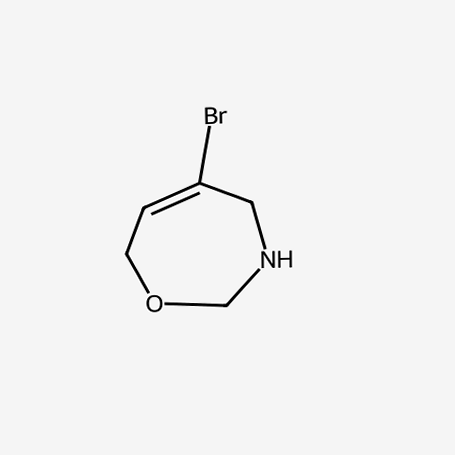 BrC1=CCOCNC1